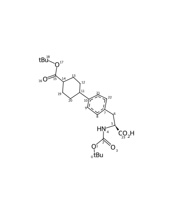 CC(C)(C)OC(=O)N[C@@H](Cc1ccc(C2CCC(C(=O)OC(C)(C)C)CC2)cc1)C(=O)O